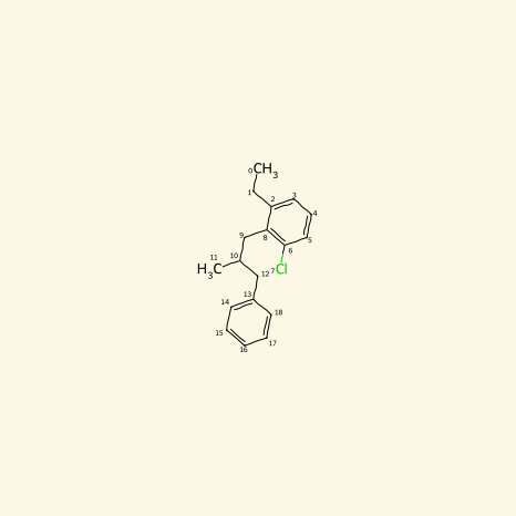 CCc1cccc(Cl)c1CC(C)Cc1ccccc1